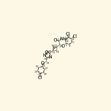 NC(=O)C(Oc1ccc(Cl)c(Cl)c1)C12CC(c3nc(COc4ccc(Cl)cc4)no3)(C1)C2